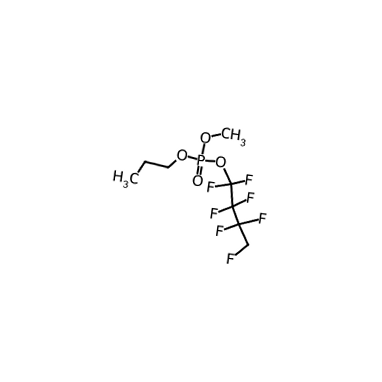 CCCOP(=O)(OC)OC(F)(F)C(F)(F)C(F)(F)CF